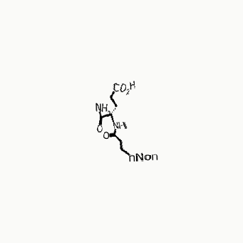 CCCCCCCCCCCC(=O)N[C@@H](CCC(=O)O)C(N)=O